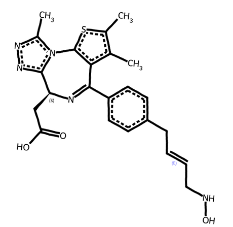 Cc1sc2c(c1C)C(c1ccc(C/C=C/CNO)cc1)=N[C@@H](CC(=O)O)c1nnc(C)n1-2